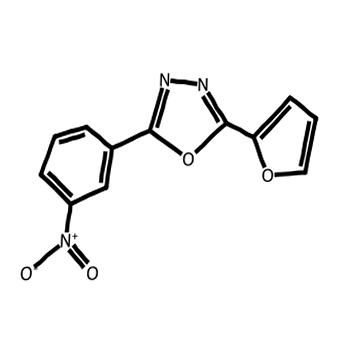 O=[N+]([O-])c1cccc(-c2nnc(-c3ccco3)o2)c1